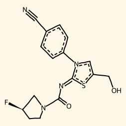 N#Cc1ccc(-n2cc(CO)sc2=NC(=O)N2CC[C@@H](F)C2)cc1